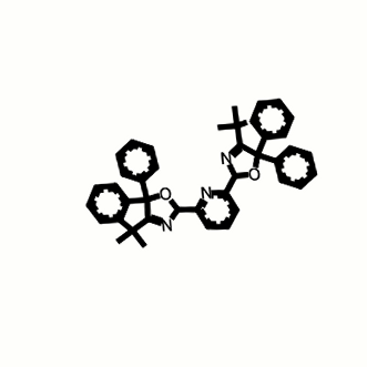 CC(C)(C)C1=NC(c2cccc(C3N=C(C(C)(C)C)C(c4ccccc4)(c4ccccc4)O3)n2)OC1(c1ccccc1)c1ccccc1